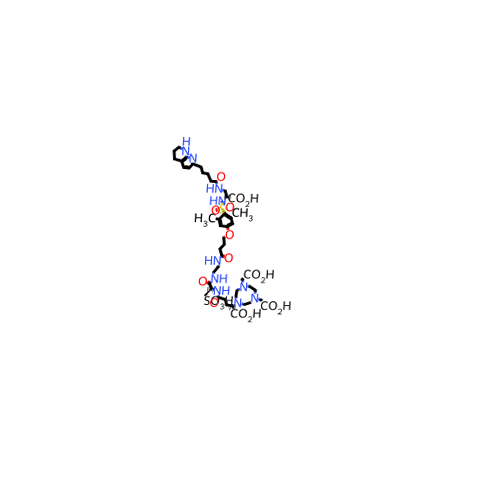 Cc1cc(OCCCC(=O)NCCNC(=O)[C@H](CS(=O)(=O)O)NC(=O)CC[C@H](C(=O)O)N2CCN(CC(=O)O)CCN(CC(=O)O)CC2)cc(C)c1S(=O)(=O)N[C@H](CNC(=O)CCCCc1ccc2c(n1)NCCC2)C(=O)O